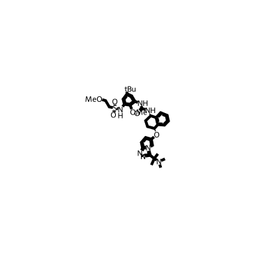 COCCS(=O)(=O)Nc1cc(C(C)(C)C)cc(NC(=O)N[C@H]2CC[C@@H](Oc3ccc4nnc(C(C)(C)N(C)C)n4c3)c3ccccc32)c1OC